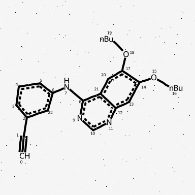 C#Cc1cccc(Nc2ncnc3cc(OCCCC)c(OCCCC)cc23)c1